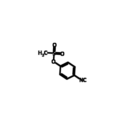 [C-]#[N+]c1ccc(OS(C)(=O)=O)cc1